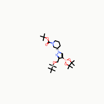 CC(C)(C)OC(=O)N1CCC[C@H](n2cc(B3OC(C)(C)C(C)(C)O3)c(CO[Si](C)(C)C(C)(C)C)n2)C1